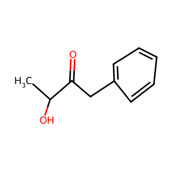 CC(O)C(=O)Cc1ccccc1